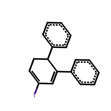 IC1=CCC(c2ccccc2)C(c2ccccc2)=C1